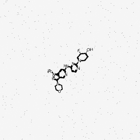 CC(C)n1nc(N2CCOCC2)c2cnc(Nc3ccnc(N4CC[C@@H](O)[C@@H](F)C4)n3)cc21